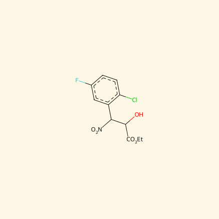 CCOC(=O)C(O)C(c1cc(F)ccc1Cl)[N+](=O)[O-]